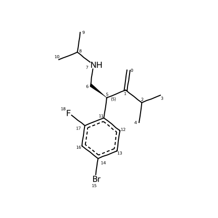 C=C(C(C)C)[C@H](CNC(C)C)c1ccc(Br)cc1F